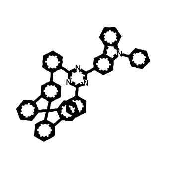 c1ccc(-c2nc(-c3ccc4c(c3)c3ccccc3n4-c3ccccc3)nc(-c3ccccc3-c3ccc4c(c3)-c3ccccc3C43c4ccccc4-c4ccccc43)n2)cc1